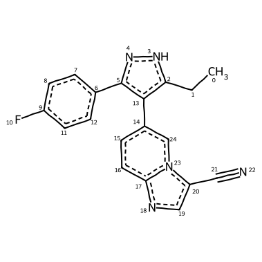 CCc1[nH]nc(-c2ccc(F)cc2)c1-c1ccc2ncc(C#N)n2c1